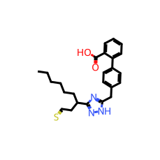 CCCCCCC(CC=S)c1n[nH]c(Cc2ccc(-c3ccccc3C(=O)O)cc2)n1